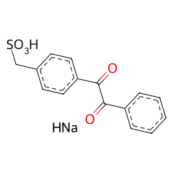 O=C(C(=O)c1ccc(CS(=O)(=O)O)cc1)c1ccccc1.[NaH]